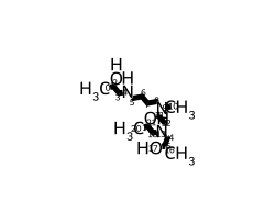 CC(O)CNCCCCN(C)CCN(CC(C)O)CC(C)O